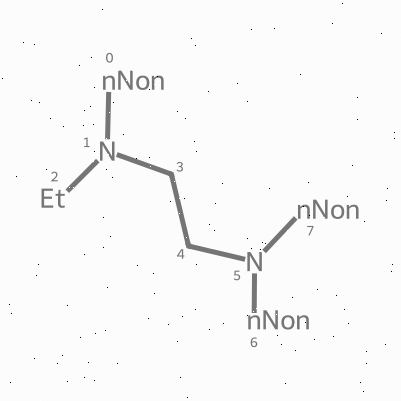 CCCCCCCCCN(CC)CCN(CCCCCCCCC)CCCCCCCCC